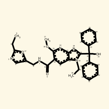 CCc1ncc(CNC(=O)c2cc3c(nc2OC)nc(C(O)(c2ccccc2)c2ccccc2)n3CC)o1